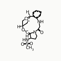 CS(=O)(=O)NC1CCN2C(=O)CNc3ccccc3[C@H]3CC[C@H](CC3)OC[C@@H]12